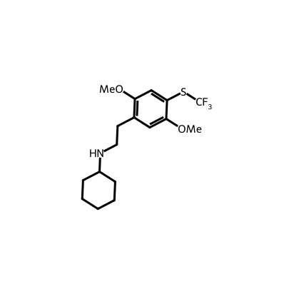 COc1cc(SC(F)(F)F)c(OC)cc1CCNC1CCCCC1